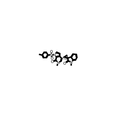 Cc1ccc(S(=O)(=O)n2ccc3c([C@@H]4C[C@@]45C(=O)N(C)c4ccccc45)cn(C)c(=O)c32)cc1